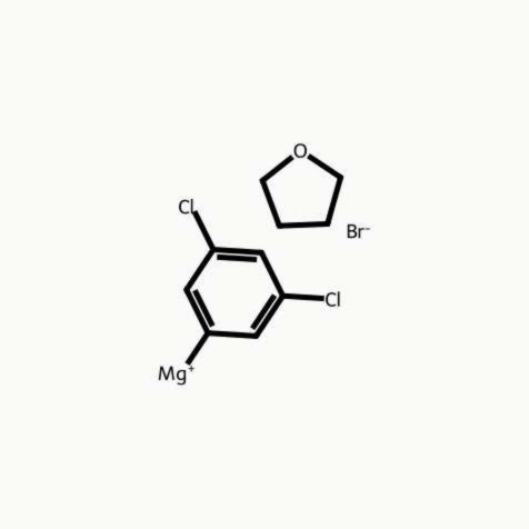 C1CCOC1.[Br-].[Mg+][c]1cc(Cl)cc(Cl)c1